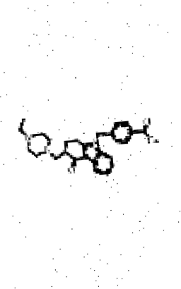 CCN1CCN(CC2CCc3c(c4ccccc4n3Cc3ccc(C(=O)OC)cc3)C2=O)CC1